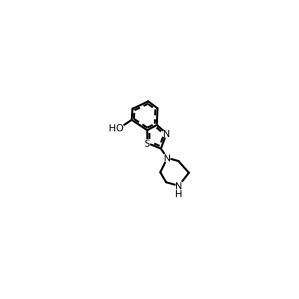 Oc1cccc2nc(N3CCNCC3)sc12